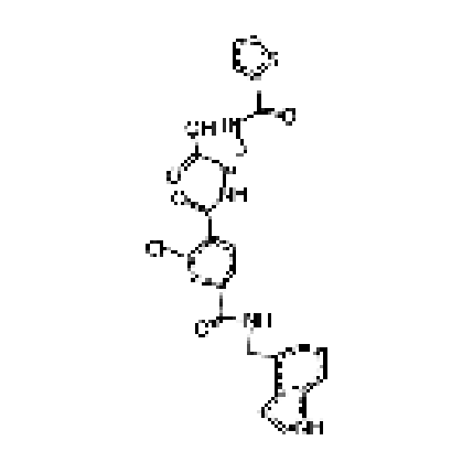 O=C(NCc1cccc2[nH]ccc12)c1ccc(C(=O)N[C@@H](CNC(=O)c2cccs2)C(=O)O)c(Cl)c1